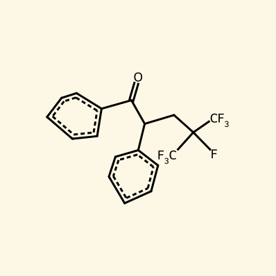 O=C(c1ccccc1)C(CC(F)(C(F)(F)F)C(F)(F)F)c1ccccc1